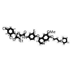 CCn1c(C(=O)Nc2ccc(Oc3ccnc4cc(OCCCN5CCCC5)c(OC)cc34)c(F)c2)nn(-c2ccc(Cl)cc2Cl)c1=O